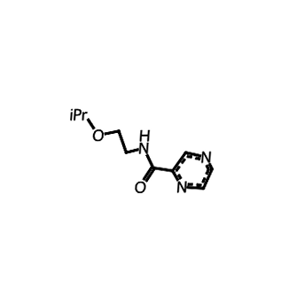 CC(C)OCCNC(=O)c1cnccn1